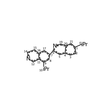 CC(C)c1ccc2cc(-c3cc(C(C)C)c4cnccc4c3)ncc2c1